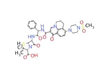 CC1(C)SC2C(NC(=O)C(NC(=O)c3cn4c5c(c(N6CCN(S(C)(=O)=O)CC6)ccc5c3=O)CCC4)c3ccccc3)C(=O)N2C1C(=O)O